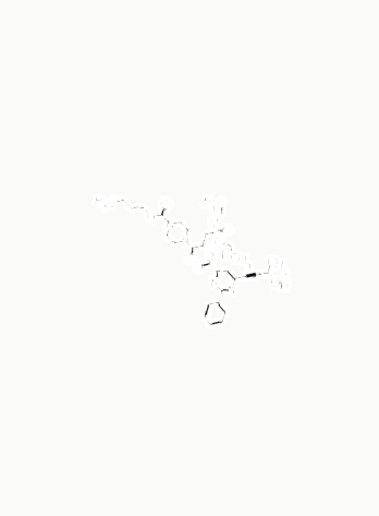 CCCCOC(=O)N1CCN(C(=O)C(CP(=O)(OCC)OCC)NC(=O)c2cc(C#CC(C)O)nc(-c3ccccc3)n2)CC1